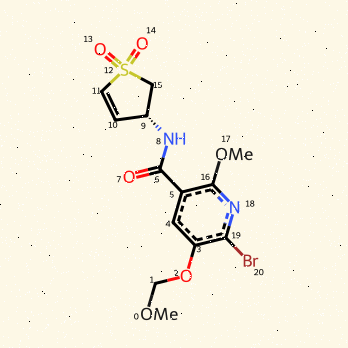 COCOc1cc(C(=O)N[C@@H]2C=CS(=O)(=O)C2)c(OC)nc1Br